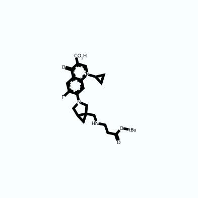 CC(C)(C)OC(=O)CCNCC12CC1CN(c1cc3c(cc1F)c(=O)c(C(=O)O)cn3C1CC1)C2